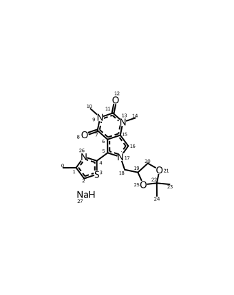 Cc1csc(-c2c3c(=O)n(C)c(=O)n(C)c3cn2CC2COC(C)(C)O2)n1.[NaH]